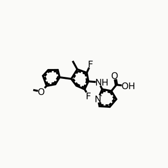 COc1cccc(-c2cc(F)c(Nc3ncccc3C(=O)O)c(F)c2C)c1